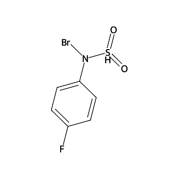 O=[SH](=O)N(Br)c1ccc(F)cc1